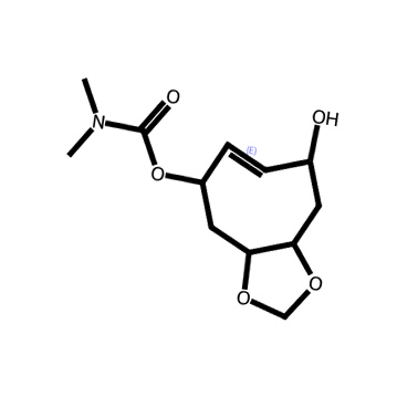 CN(C)C(=O)OC1/C=C/C(O)CC2OCOC2C1